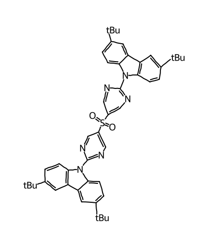 CC(C)(C)c1ccc2c(c1)c1cc(C(C)(C)C)ccc1n2-c1ncc(S(=O)(=O)c2cnc(-n3c4ccc(C(C)(C)C)cc4c4cc(C(C)(C)C)ccc43)nc2)cn1